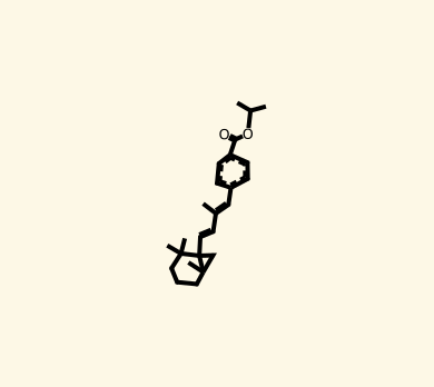 C/C(C=CC12CC1(C)CCCC2(C)C)=C\c1ccc(C(=O)OC(C)C)cc1